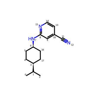 CC(C)[C@H]1CC[C@@H](Nc2cc(C#N)ccn2)CC1